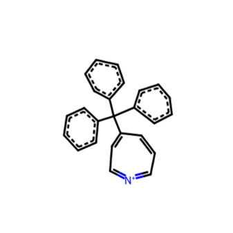 C1=CC(C(c2ccccc2)(c2ccccc2)c2ccccc2)=CC=[N+]=C1